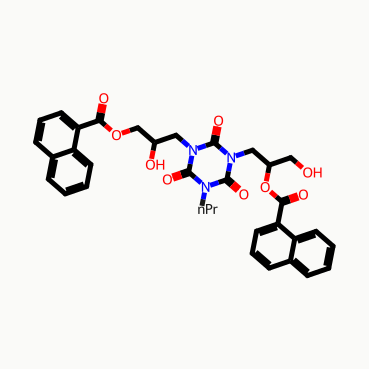 CCCn1c(=O)n(CC(O)COC(=O)c2cccc3ccccc23)c(=O)n(CC(CO)OC(=O)c2cccc3ccccc23)c1=O